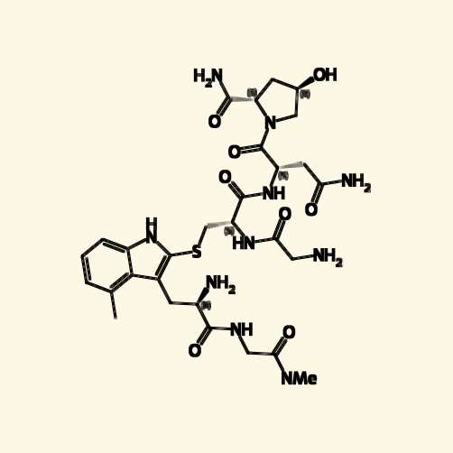 CNC(=O)CNC(=O)[C@H](N)Cc1c(SC[C@@H](NC(=O)CN)C(=O)N[C@@H](CC(N)=O)C(=O)N2C[C@H](O)C[C@H]2C(N)=O)[nH]c2cccc(C)c12